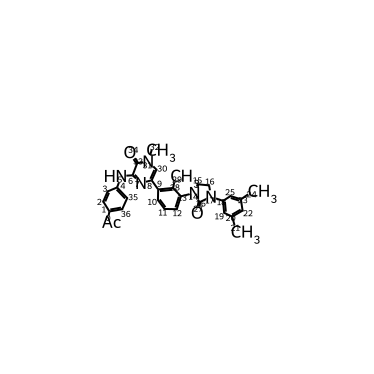 CC(=O)c1ccc(Nc2nc(-c3cccc(N4CCN(c5cc(C)cc(C)c5)C4=O)c3C)cn(C)c2=O)cc1